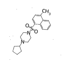 Cc1ccc(S(=O)(=O)N2CCN(C3CCCC3)CC2)c2ccccc12